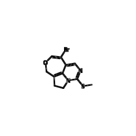 CSC1=NC=C2C(Br)=COCC3=C2N1CC3